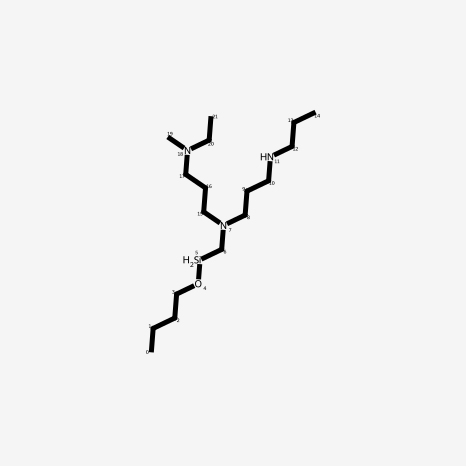 CCCCO[SiH2]CN(CCCNCCC)CCCN(C)CC